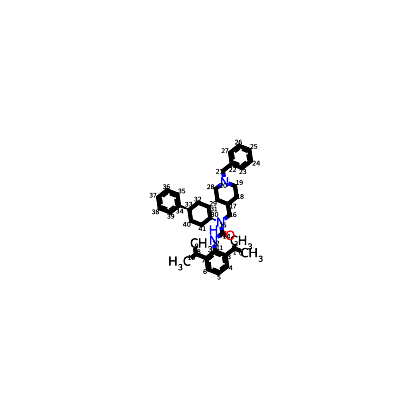 CC(C)c1cccc(C(C)C)c1NC(=O)N(CC1CCN(Cc2ccccc2)CC1)[C@H]1CC[C@H](c2ccccc2)CC1